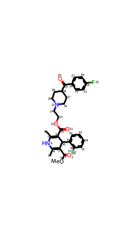 COC(=O)C1=C(C)NC(C)=C(C(=O)OCCN2CCC(C(=O)c3ccc(F)cc3)CC2)C1c1ccccc1Br